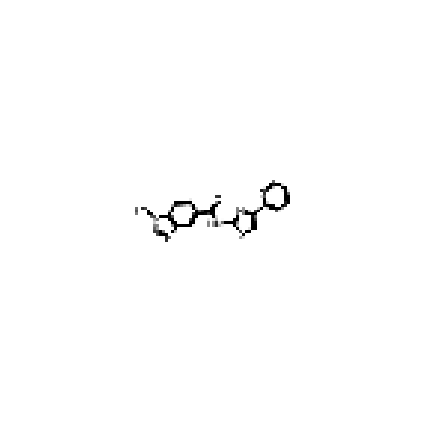 CC(C)n1cnc2cc(C(=O)Nc3nc(-c4ccccn4)cs3)ccc21